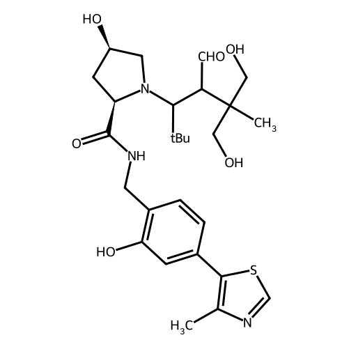 Cc1ncsc1-c1ccc(CNC(=O)[C@H]2C[C@@H](O)CN2C(C(C=O)C(C)(CO)CO)C(C)(C)C)c(O)c1